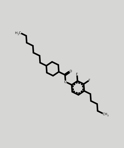 CCCCCCCC1CCC(C(=O)Oc2ccc(CCCCC)c(F)c2F)CC1